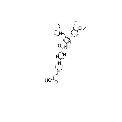 CCOc1ccc(-c2nc(NC(=O)c3cnc(N4CCN(CCC(=O)O)CC4)cn3)sc2CN2CCC[C@H]2CC)cc1CF